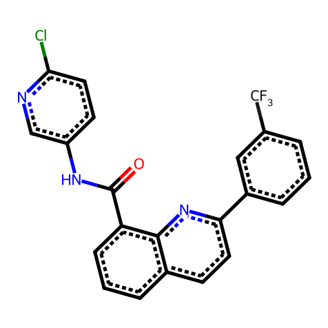 O=C(Nc1ccc(Cl)nc1)c1cccc2ccc(-c3cccc(C(F)(F)F)c3)nc12